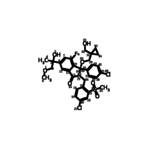 COCC(C)(O)c1cc(F)c2c(c1)C(=O)N(Cc1ccc(Cl)cc1S(C)(=O)=O)[C@@]2(OCC1(CO)CC1)c1ccc(Cl)cc1